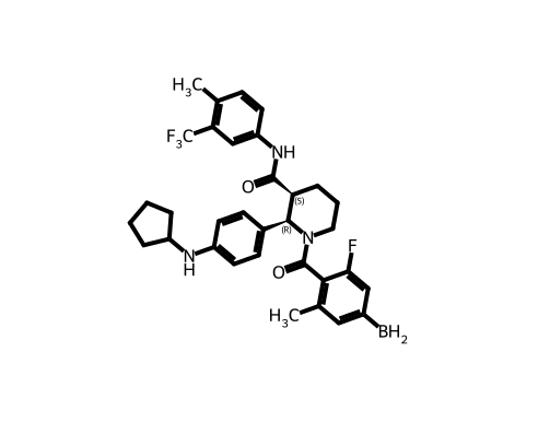 Bc1cc(C)c(C(=O)N2CCC[C@H](C(=O)Nc3ccc(C)c(C(F)(F)F)c3)[C@@H]2c2ccc(NC3CCCC3)cc2)c(F)c1